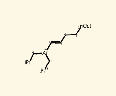 CCCCCCCCCCC=[CH][Al]([CH2]C(C)C)[CH2]C(C)C